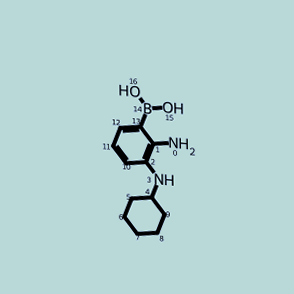 Nc1c(NC2CCCCC2)cccc1B(O)O